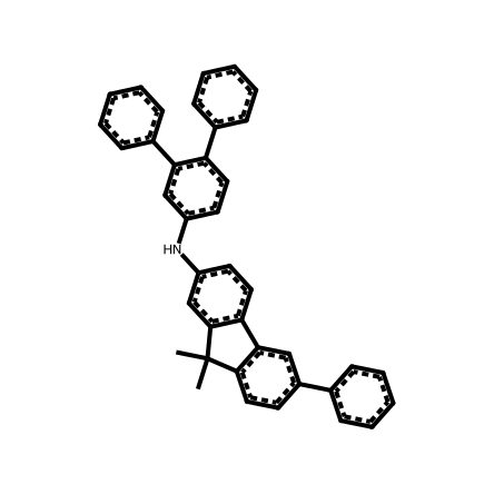 CC1(C)c2ccc(-c3ccccc3)cc2-c2ccc(Nc3ccc(-c4ccccc4)c(-c4ccccc4)c3)cc21